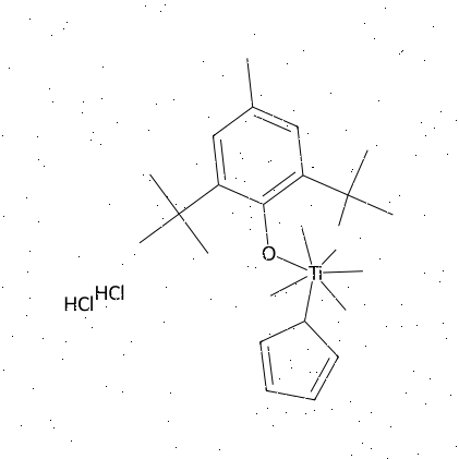 Cc1cc(C(C)(C)C)c([O][Ti]([CH3])([CH3])([CH3])([CH3])([CH3])[CH]2C=CC=C2)c(C(C)(C)C)c1.Cl.Cl